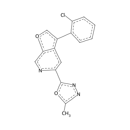 Cc1nnc(-c2cc3c(-c4ccccc4Cl)coc3cn2)o1